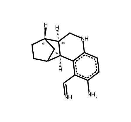 N=Cc1c(N)ccc2c1[C@H]1C3CC[C@@H](C3)[C@H]1CN2